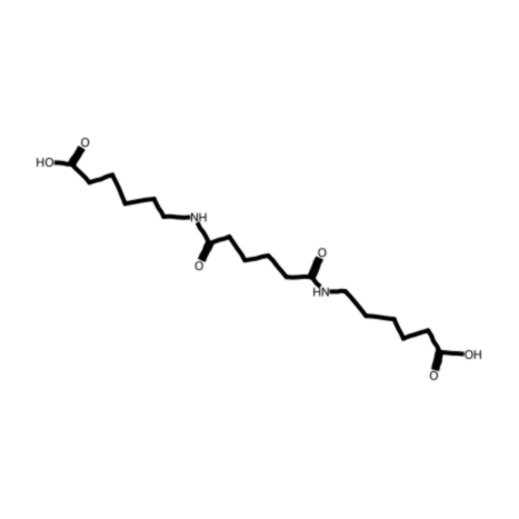 O=C(O)CCCCCNC(=O)CCCCC(=O)NCCCCCC(=O)O